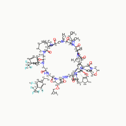 CCO[C@@H]1C[C@H]2C(=O)N[C@@]3(C)C/C=C\CCCC[C@@H](C(=O)N[C@H]([C@@H](C)CC)C(=O)N(C)CC(=O)N(C)[C@H]4CCCCCN(C4=O)[C@@H](Cc4ccc(C(F)(F)F)cc4)C(=O)N(C)CC(=O)N[C@@H](CCc4cc(F)c(C(F)(F)F)c(F)c4)C(=O)N2C1)N(C)C(=O)C[C@@H](C(=O)N1CCOCC1)N(C)C(=O)[C@H](C1CCCC1)N(C)C3=O